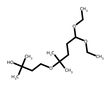 CCOC(CCC(C)(C)OCCC(C)(C)O)OCC